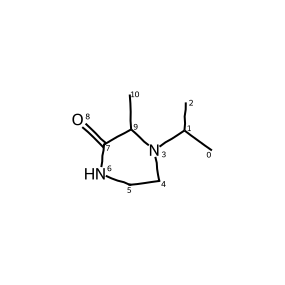 CC(C)N1CCNC(=O)C1C